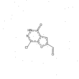 O=Cc1cc2c(=O)[nH]nc(Cl)c2o1